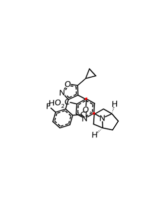 O=C(O)c1ccc(N2[C@@H]3CC[C@H]2C[C@H](OCc2c(-c4c(F)cccc4Cl)noc2C2CC2)C3)nc1